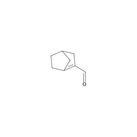 O=CC1=C2CCC(C1)C2